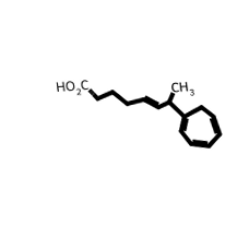 CC(C=CCCCC(=O)O)C1=CC=CC=CC1